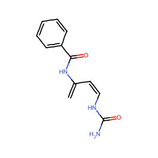 C=C(/C=C\NC(N)=O)NC(=O)c1ccccc1